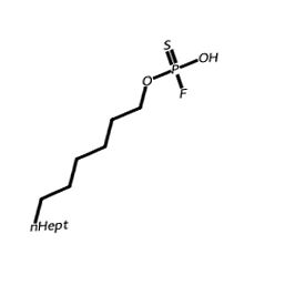 CCCCCCCCCCCCCOP(O)(F)=S